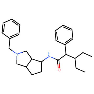 CCC(CC)C(C(=O)NC1CCC2CN(Cc3ccccc3)CC21)c1ccccc1